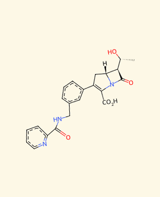 C[C@@H](O)[C@H]1C(=O)N2C(C(=O)O)=C(c3cccc(CNC(=O)c4ccccn4)c3)C[C@H]12